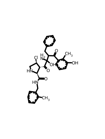 Cc1ccccc1CNC(=O)[C@H]1NC[C@@H](Cl)[C@@H]1C(=O)C(N)(O)C(Cc1ccccc1)C(=O)c1cccc(O)c1C